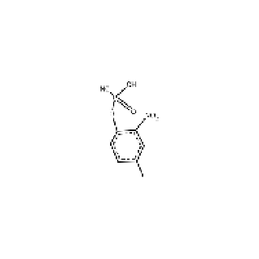 Cc1ccc(OP(=O)(O)C#N)c([N+](=O)[O-])c1